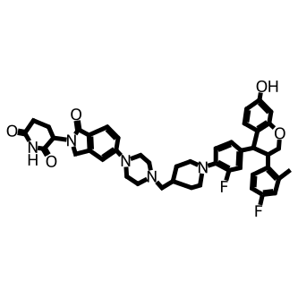 Cc1cc(F)ccc1C1COc2cc(O)ccc2C1c1ccc(N2CCC(CN3CCN(c4ccc5c(c4)CN(C4CCC(=O)NC4=O)C5=O)CC3)CC2)c(F)c1